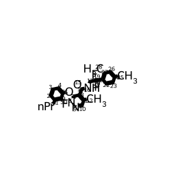 CCCc1cccc(Oc2nncc(C)c2C(=O)NCC(F)(F)c2ccc(C)cc2C)c1F